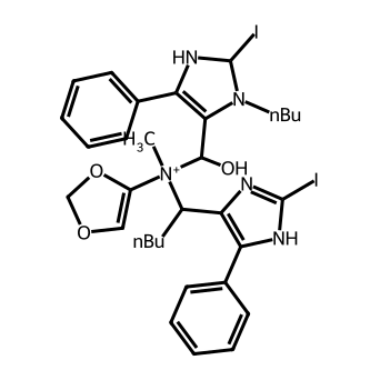 CCCCC(c1nc(I)[nH]c1-c1ccccc1)[N+](C)(C1=COCO1)C(O)C1=C(c2ccccc2)NC(I)N1CCCC